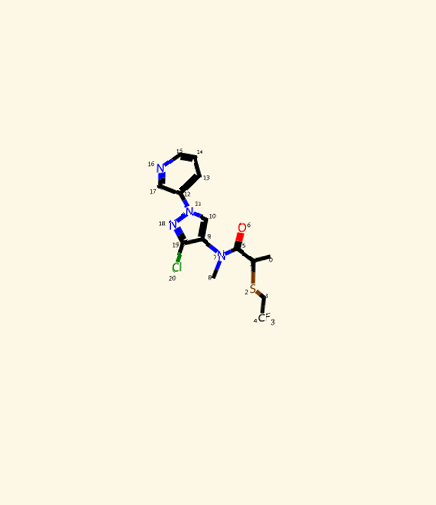 CC(SCC(F)(F)F)C(=O)N(C)c1cn(-c2cccnc2)nc1Cl